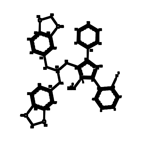 CCCCn1c(-c2ccccc2F)nc(-c2ccccc2)c1CN(Cc1ccc2c(c1)OCO2)Cc1ccc2c(c1)OCO2